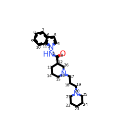 O=C(Nn1ccc2ccccc21)C1CCCN(CCCN2CCCCC2)C1